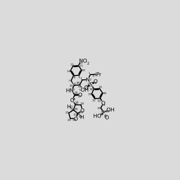 CC(C)CN(C[C@@H](O)[C@H](Cc1ccc([N+](=O)[O-])cc1)NC(=O)O[C@H]1CO[C@H]2OCC[C@H]21)S(=O)(=O)c1ccc(OCP(=O)(O)O)cc1